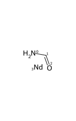 NC=O.[Nd]